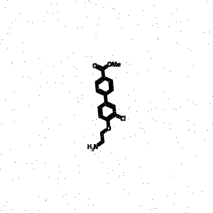 COC(=O)c1ccc(-c2ccc(OCCN)c(Cl)c2)cc1